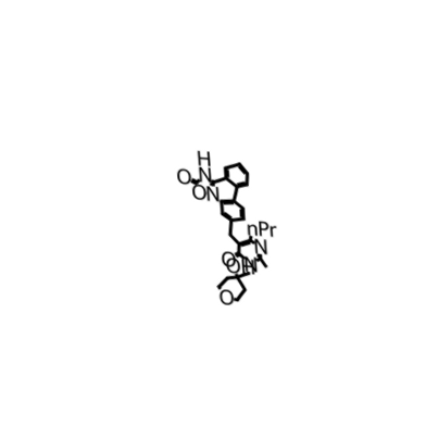 CCCc1nc(C)n(CC2(O)CCOCC2)c(=O)c1Cc1ccc(-c2ccccc2-c2noc(=O)[nH]2)cc1